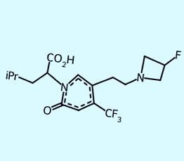 CC(C)CC(C(=O)O)n1cc(CCN2CC(F)C2)c(C(F)(F)F)cc1=O